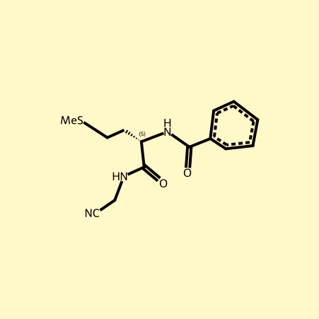 CSCC[C@H](NC(=O)c1ccccc1)C(=O)NCC#N